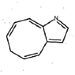 C1=N/C2=C/C=C\C/C=C\C2=C1